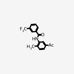 CC(=O)c1ccc(C)c(NC(=O)c2cccc(C(F)(F)F)c2)c1